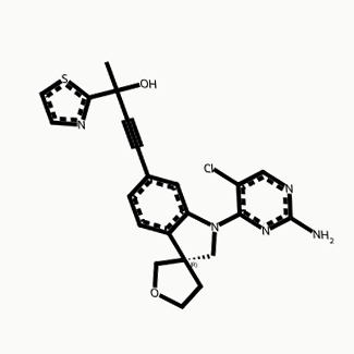 CC(O)(C#Cc1ccc2c(c1)N(c1nc(N)ncc1Cl)C[C@@]21CCOC1)c1nccs1